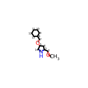 COCC1CC(OCC2CCCCC2)CN1